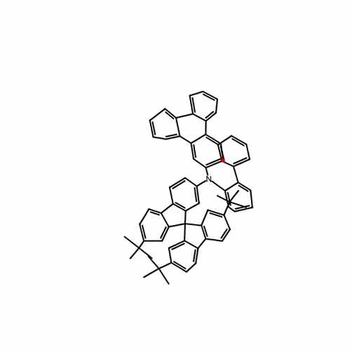 CC(C)(C)c1ccc2c(c1)C1(c3cc(N(c4ccc5c6ccccc6c6ccccc6c5c4)c4ccccc4-c4ccccc4)ccc3-2)c2cc(C(C)(C)C)ccc2-c2ccc(C(C)(C)C)cc21